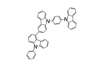 c1ccc(-n2c3ccccc3c3c(-c4ccc5c(c4)c4ccccc4n5-c4ccc(-n5c6ccccc6c6ccccc65)cc4)cccc32)cc1